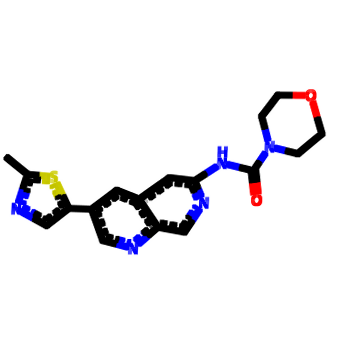 Cc1ncc(-c2cnc3cnc(NC(=O)N4CCOCC4)cc3c2)s1